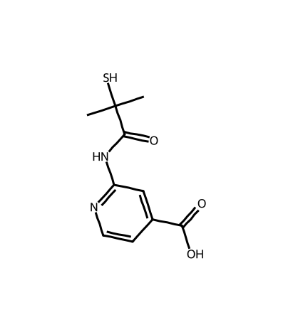 CC(C)(S)C(=O)Nc1cc(C(=O)O)ccn1